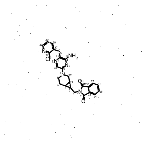 Nc1nc(N2CCC3C(CN4C(=O)c5ccccc5C4=O)C3C2)cnc1Sc1cccnc1C(F)(F)F